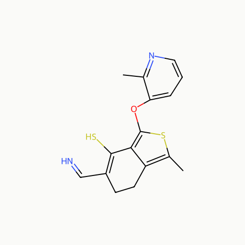 Cc1ncccc1Oc1sc(C)c2c1C(S)=C(C=N)CC2